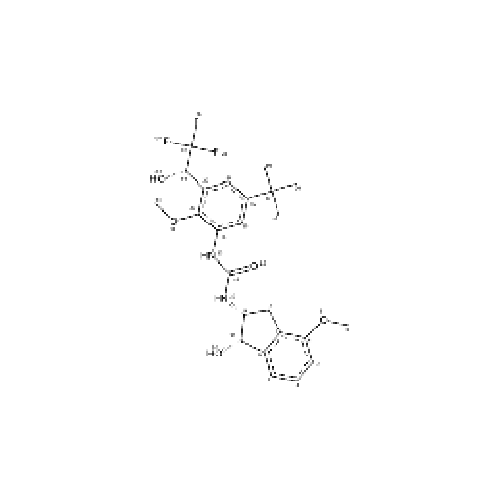 COc1cccc2c1C[C@@H](NC(=O)Nc1cc(C(C)(C)C)cc([C@H](O)C(F)(F)F)c1OC)[C@H]2O